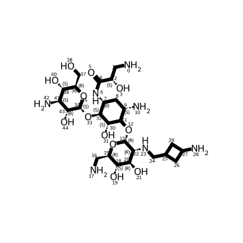 NC[C@H](O)C(=O)N[C@@H]1C[C@H](N)C(O[C@H]2O[C@H](CN)[C@@H](O)[C@H](O)[C@H]2NCC2CC(N)C2)[C@H](O)[C@H]1O[C@H]1O[C@H](CO)[C@@H](O)[C@H](N)[C@H]1O